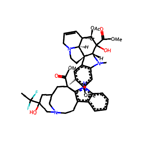 CC[C@]12C=CCN3CC[C@@]4(c5cc([C@@]6(C(=O)OC)CC7CN(CCc8c6[nH]c6ccccc86)CC(O)(C(C)(F)F)C7)c(OC)cc5N(C)[C@H]4C(O)(C(=O)OC)[C@@H]1OC(C)=O)[C@@H]32